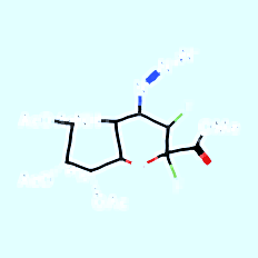 COC(=O)C1(F)OC([C@H](OC(C)=O)[C@@H](COC(C)=O)OC(C)=O)C(NC(C)=O)C(N=[N+]=[N-])C1F